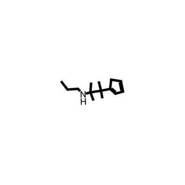 CCCNC(C)(C)C(C)(C)C1=CC=CC1